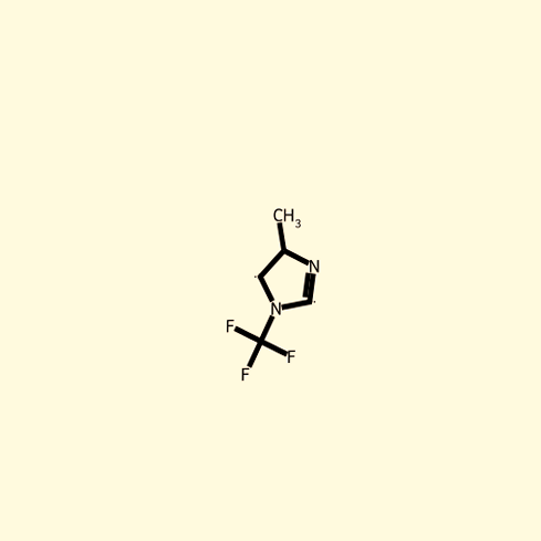 CC1[CH]N(C(F)(F)F)[C]=N1